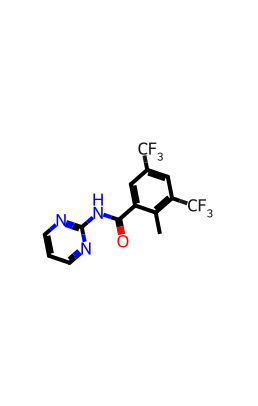 Cc1c(C(=O)Nc2ncccn2)cc(C(F)(F)F)cc1C(F)(F)F